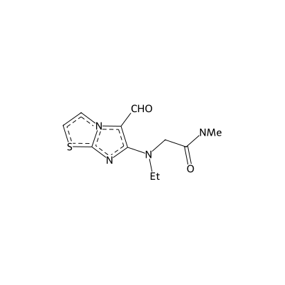 CCN(CC(=O)NC)c1nc2sccn2c1C=O